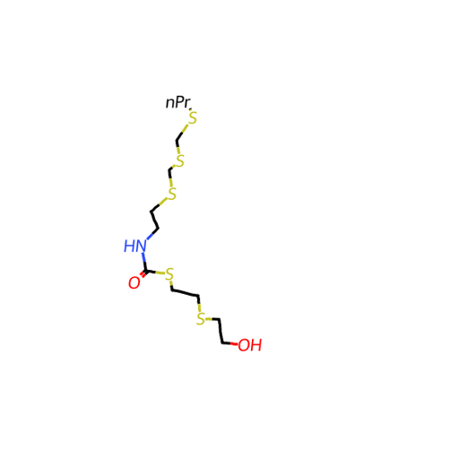 CCCSCSCSCCNC(=O)SCCSCCO